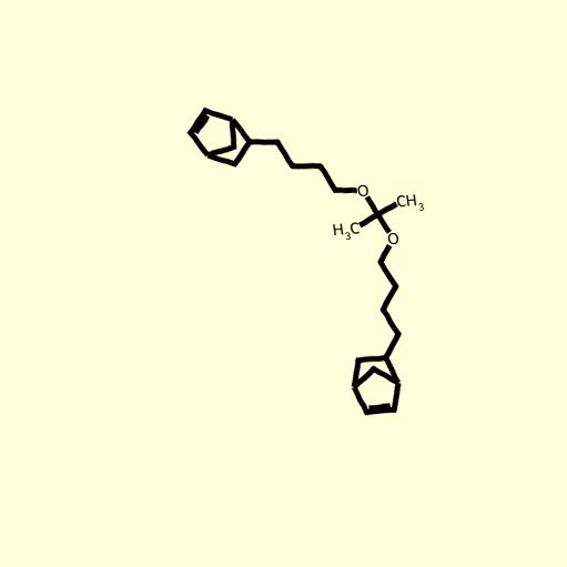 CC(C)(OCCCCC1CC2C=CC1C2)OCCCCC1CC2C=CC1C2